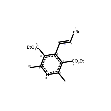 CCCC/C=C/c1c(C(=O)OCC)c(C)nc(C)c1C(=O)OCC